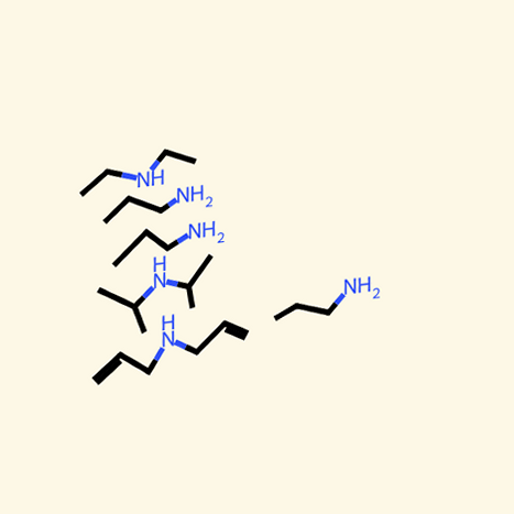 C=CCNCC=C.CC(C)NC(C)C.CCCN.CCCN.CCCN.CCNCC